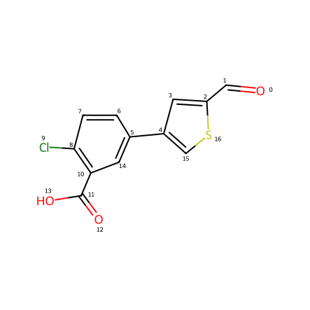 O=Cc1cc(-c2ccc(Cl)c(C(=O)O)c2)cs1